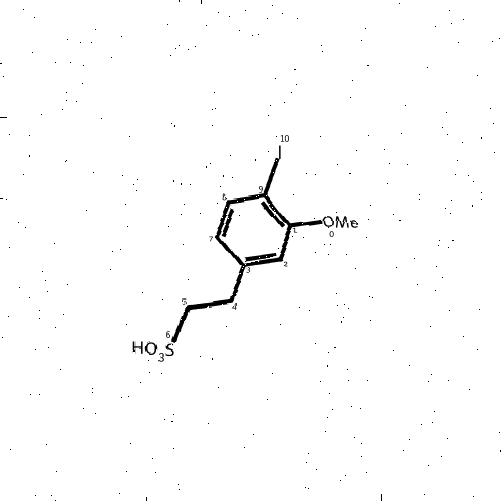 COc1cc(CCS(=O)(=O)O)ccc1I